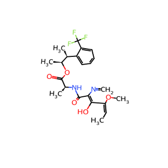 C=N/C(C(=O)N[C@@H](C)C(=O)O[C@@H](C)[C@@H](C)c1ccccc1C(F)(F)F)=C(O)\C(=C/C)OC